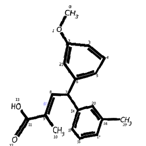 COc1cccc(C(/C=C(\C)C(=O)O)c2cccc(C)c2)c1